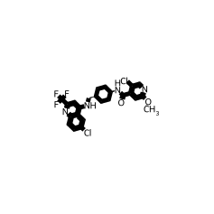 COc1cc(C(=O)N[C@H]2CC[C@@H](CNc3cc(C(F)(F)F)nc4ccc(Cl)cc34)CC2)c(Cl)cn1